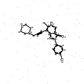 Cc1[nH]cc2c(=O)n(-c3ccc(Cl)cc3)nc-2c1C#CCN1CCOCC1